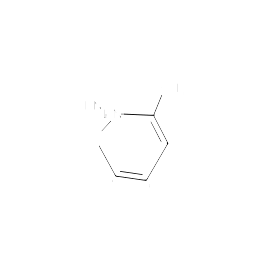 CC1=CC=CON1.N